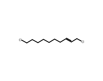 ClCC=CCCCCCCCCl